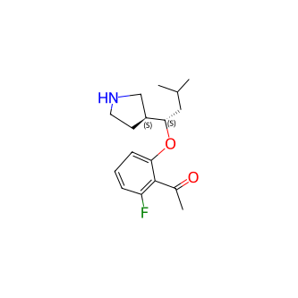 CC(=O)c1c(F)cccc1O[C@@H](CC(C)C)[C@H]1CCNC1